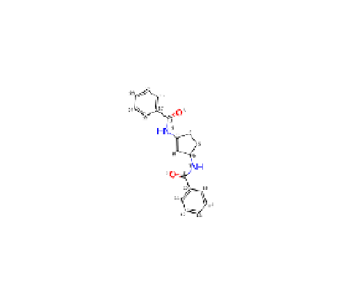 O=C(NC1CCC(NC(=O)c2ccccc2)C1)c1ccccc1